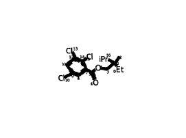 CCC(C)(COC(=O)c1[c]c(Cl)cc(Cl)c1Cl)C(C)C